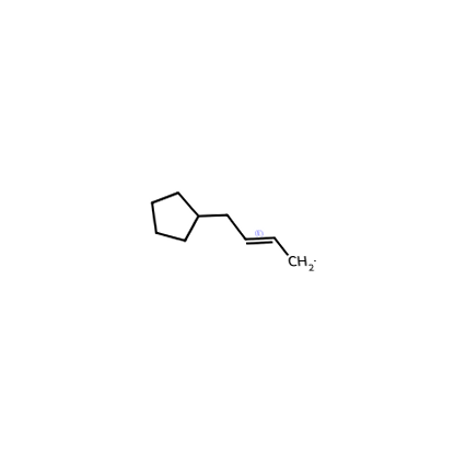 [CH2]/C=C/CC1CCCC1